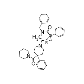 CN(Cc1ccccc1)C(=O)[C@@]1(c2ccccc2)C[C@H]1CN1CCC(C(=O)N2CCCCC2)(c2ccccc2)CC1